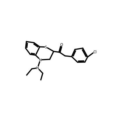 CCN(CC)N1CC(C(=O)Cc2ccc(Cl)cc2)Sc2ccccc21